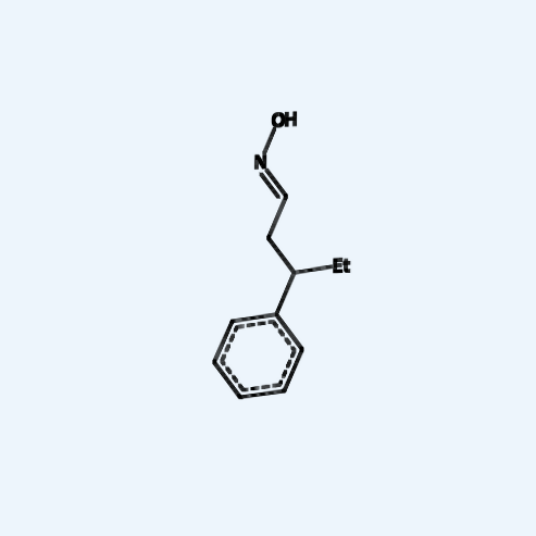 CCC(C/C=N/O)c1ccccc1